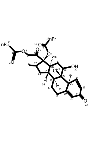 CCCCC(=O)OCC(=O)[C@@]1(OC(=O)CCC)C(C)C[C@H]2[C@@H]3CCC4=CC(=O)C=C[C@]4(C)[C@@]3(Cl)C(O)C[C@@]21C